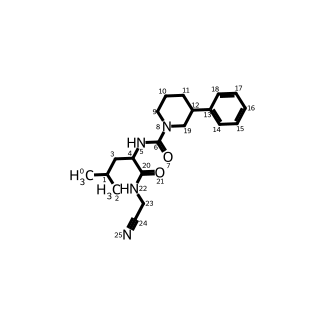 CC(C)CC(NC(=O)N1CCCC(c2ccccc2)C1)C(=O)NCC#N